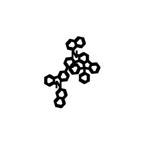 c1ccc(C2(c3ccccc3)c3ccccc3-c3ccc4c(c32)c2cc(-c3ccc5c(c3)c3ccccc3n5-c3ccc5ccccc5c3)ccc2n4-c2cccc3ccccc23)cc1